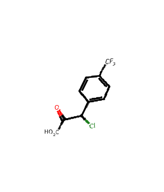 O=C(O)C(=O)C(Cl)c1ccc(C(F)(F)F)cc1